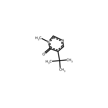 Cn1cncc(C(C)(C)C)c1=O